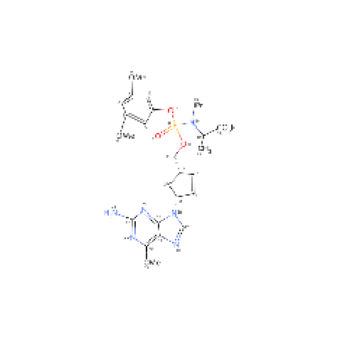 COc1cc(OC)cc(OP(=O)(OC[C@@H]2C=C[C@H](n3cnc4c(OC)nc(N)nc43)C2)N(C(C)C)C(C)C(=O)O)c1